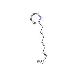 O=C(O)/C=C/C=C/CCCc1ccccn1